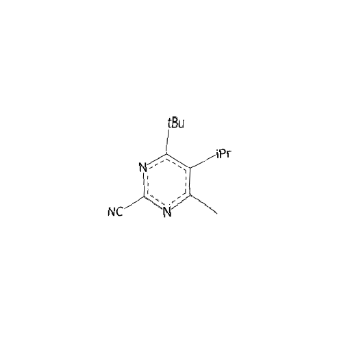 Cc1nc(C#N)nc(C(C)(C)C)c1C(C)C